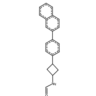 O=CNC1CC(c2ccc(-c3ccc4ccccc4c3)cc2)C1